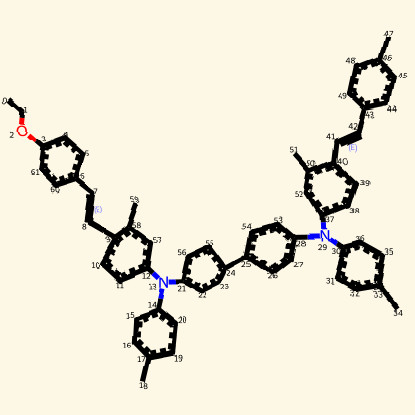 CCOc1ccc(/C=C/c2ccc(N(c3ccc(C)cc3)c3ccc(-c4ccc(N(c5ccc(C)cc5)c5ccc(/C=C/c6ccc(C)cc6)c(C)c5)cc4)cc3)cc2C)cc1